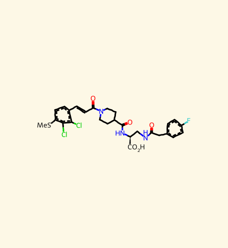 CSc1ccc(C=CC(=O)N2CCC(C(=O)N[C@@H](CNC(=O)Cc3ccc(F)cc3)C(=O)O)CC2)c(Cl)c1Cl